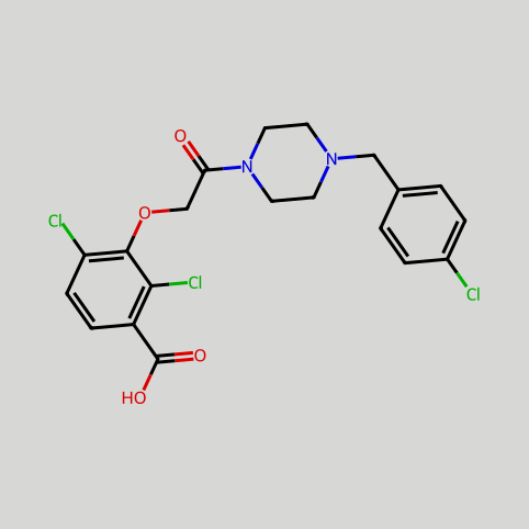 O=C(O)c1ccc(Cl)c(OCC(=O)N2CCN(Cc3ccc(Cl)cc3)CC2)c1Cl